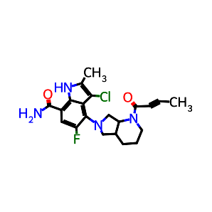 CC#CC(=O)N1CCCC2CN(c3c(F)cc(C(N)=O)c4[nH]c(C)c(Cl)c34)CC21